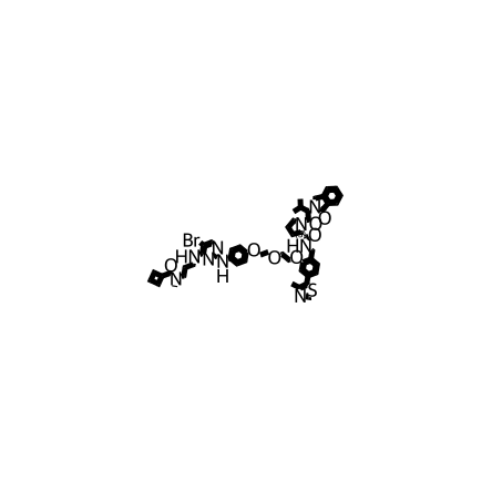 Cc1ncsc1-c1ccc(CNC(=O)[C@@H]2CCCN2C(=O)C(C(C)C)N2Cc3ccccc3C2=O)c(OCCOCCOc2ccc(Nc3ncc(Br)c(NCCCN(C)C(=O)C4CCC4)n3)cc2)c1